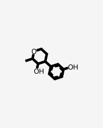 CC1OCCC(c2cccc(O)c2)C1O